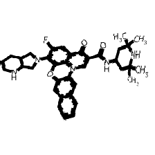 CC1(C)CC(NC(=O)c2cn3c4c(c(N5CC6CCCNC6C5)c(F)cc4c2=O)Oc2cc4ccccc4cc2-3)CC(C)(C)N1